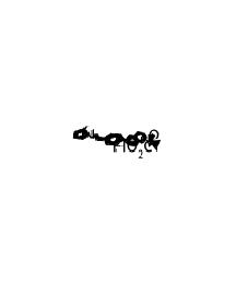 C[C@@H]1CCCN1CCc1ccc(-c2ccc3c(c2)CCN(C(=O)C2(C(=O)O)CC2)C3)cc1